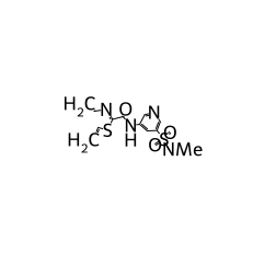 C=C/N=C(\SC=C)C(=O)Nc1cncc(S(=O)(=O)NC)c1